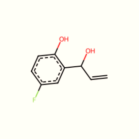 C=CC(O)c1cc(F)ccc1O